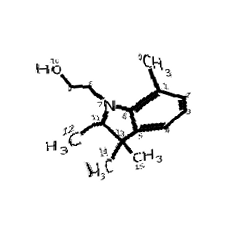 Cc1cccc2c1N(CCO)C(C)C2(C)C